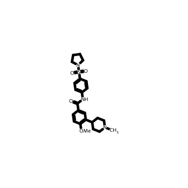 COc1ccc(C(=O)Nc2ccc(S(=O)(=O)N3CCCC3)cc2)cc1C1CCN(C)CC1